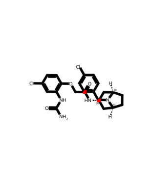 NC(=O)Nc1cc(Cl)ccc1OCC(=O)N[C@@H]1C[C@H]2CC[C@@H](C1)N2Cc1ccc(Cl)cc1